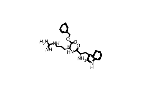 N=C(N)NCCC[C@H](NC(=O)[C@@H](N)Cc1c[nH]c2ccccc12)C(=O)OCc1ccccc1